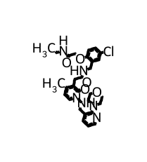 CCNC(=O)COc1ccc(Cl)cc1CNC(=O)Cc1c(C)ccn(NCc2cccnc2N2CCOCC2)c1=O